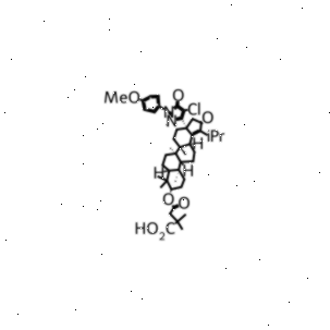 COc1ccc(-n2c(=O)c(Cl)c([C@@]34CC[C@]5(C)[C@H](CC[C@@H]6[C@@]7(C)CC[C@H](OC(=O)CC(C)(C)C(=O)O)C(C)(C)[C@@H]7CC[C@]65C)C3=C(C(C)C)C(=O)C4)n2C)cc1